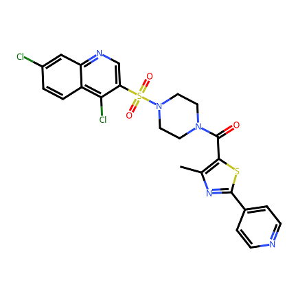 Cc1nc(-c2ccncc2)sc1C(=O)N1CCN(S(=O)(=O)c2cnc3cc(Cl)ccc3c2Cl)CC1